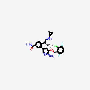 NC(=O)c1ccc(C(CNC2CC2)S(=O)(=O)O)c(-c2cnc(N)c(OCc3c(F)ccc(F)c3Cl)c2)c1